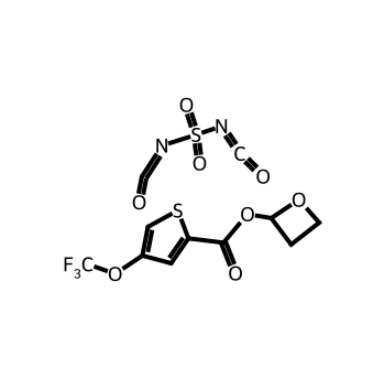 O=C(OC1CCO1)c1cc(OC(F)(F)F)cs1.O=C=NS(=O)(=O)N=C=O